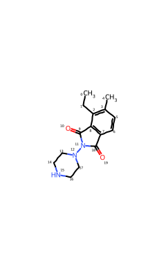 CCc1c(C)ccc2c1C(=O)N(N1CCNCC1)C2=O